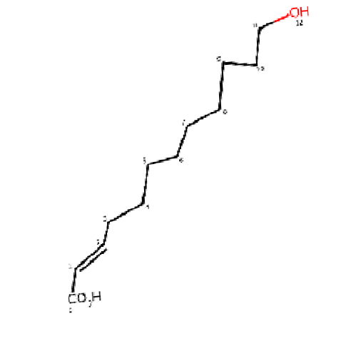 O=C(O)C=CCCCCCCCCCO